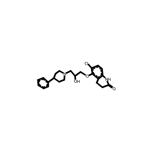 O=C1CCc2c(ccc(Cl)c2OCC(O)CN2CCC(c3ccccc3)CC2)N1